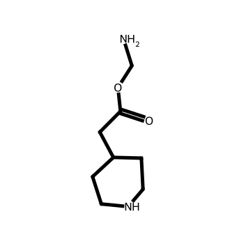 NCOC(=O)CC1CCNCC1